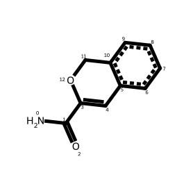 NC(=O)C1=Cc2ccccc2CO1